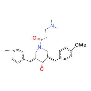 COc1ccc(/C=C2\CN(C(=O)CCN(C)C)C/C(=C\c3ccc(C)cc3)C2=O)cc1